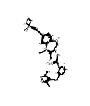 Cc1noc(C)c1Cc1ccnc(C(=O)N[C@H]2COc3ccc(C#CC4(O)COC4)cc3N(C)C2=O)c1